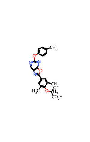 Cc1ccc(Oc2ncc3nc(-c4cc(C)c(OC(C)C(=O)O)c(C)c4)oc3n2)cc1